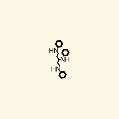 c1ccc(NCCC(CCNc2ccccc2)Nc2ccccc2)cc1